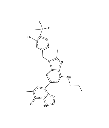 CCSNc1cc(-c2cn(C)c(=O)c3[nH]ccc23)cc2c1nc(C)n2Cc1ccc(C(F)(F)F)c(Cl)c1